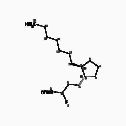 CCCCCC(F)CC[C@H]1CCC[C@@H]1CCCCCCC(=O)O